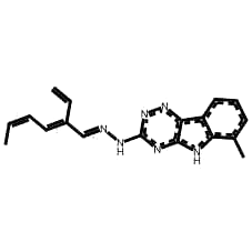 C=CC(/C=N/Nc1nnc2c(n1)[nH]c1c(C)cccc12)=C\C=C/C